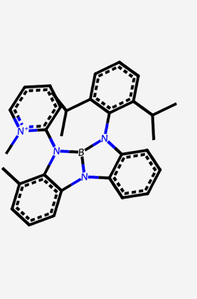 Cc1cccc2c1N(c1cccc[n+]1C)B1N2c2ccccc2N1c1c(C(C)C)cccc1C(C)C